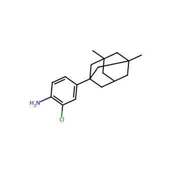 CC12CC3CC(C)(C1)CC(c1ccc(N)c(Cl)c1)(C3)C2